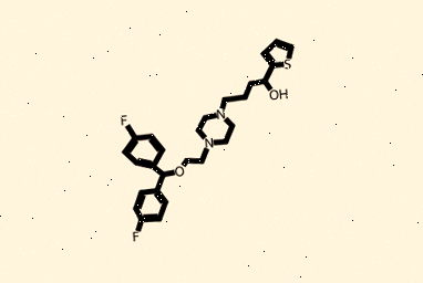 OC(CCCN1CCN(CCOC(c2ccc(F)cc2)c2ccc(F)cc2)CC1)c1cccs1